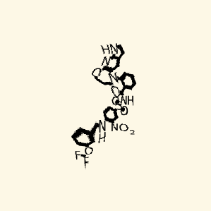 O=C(NS(=O)(=O)c1ccc(NCc2cccc(OC(F)F)c2)c([N+](=O)[O-])c1)c1ccccc1N1CCCOc2nc3[nH]ccc3cc21